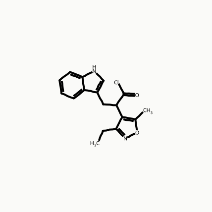 CCc1noc(C)c1C(Cc1c[nH]c2ccccc12)C(=O)Cl